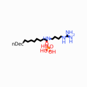 CCCCCCCCCCCCCCCCCC(=O)NCCCCNC(=N)N.O=P(O)(O)O